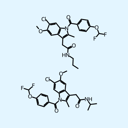 CCCNC(=O)Cc1c(C)n(C(=O)c2ccc(OC(F)F)cc2)c2cc(Cl)c(OC)cc12.COc1cc2c(CC(=O)NC(C)C)c(C)n(C(=O)c3ccc(OC(F)F)cc3)c2cc1Cl